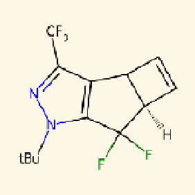 CC(C)(C)n1nc(C(F)(F)F)c2c1C(F)(F)[C@@H]1C=CC21